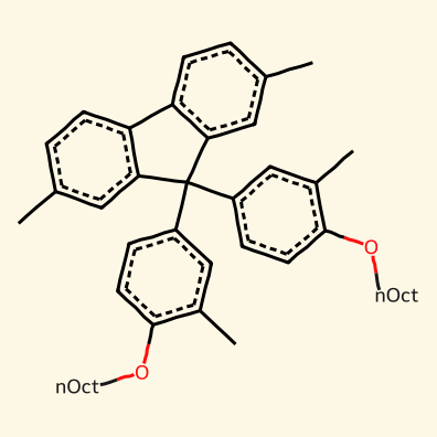 CCCCCCCCOc1ccc(C2(c3ccc(OCCCCCCCC)c(C)c3)c3cc(C)ccc3-c3ccc(C)cc32)cc1C